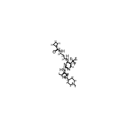 Cc1nn(C2CCN(C)CC2)nc1Nc1ncc(C(F)(F)F)c(NCCCNC(=O)C2CCC2)n1